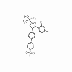 CS(=O)(=O)N1CC=C(c2ccc(C3CC(C(O)(C(F)(F)F)C(F)(F)F)=NN3c3ccc(F)cc3F)cc2)CC1